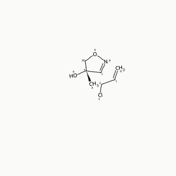 C=CCCl.C[C@]1(O)C=NOC1